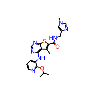 Cc1c(C(=O)NCc2cn(C)cn2)sc2ncnc(Nc3cccnc3OC(C)C)c12